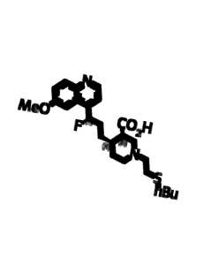 CCCCSCCN1CC[C@@H](CC[C@H](F)c2ccnc3ccc(OC)cc23)[C@@H](C(=O)O)C1